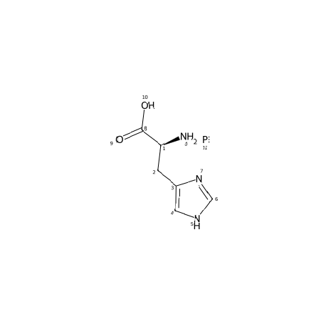 N[C@@H](Cc1c[nH]cn1)C(=O)O.[P]